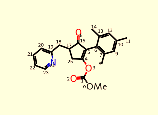 COC(=O)OC1=C(c2c(C)cc(C)cc2C)C(=O)C(Cc2ccccn2)C1